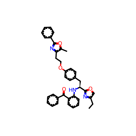 CCc1coc([C@H](Cc2ccc(OCCc3nc(-c4ccccc4)oc3C)cc2)Nc2ccccc2C(=O)c2ccccc2)n1